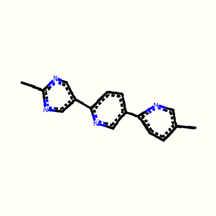 Cc1ccc(-c2ccc(-c3cnc(C)nc3)nc2)nc1